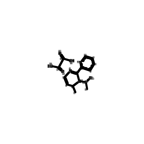 CC1C=CN=C(c2ccccn2)N1[S+](C)[O-].O=C(O)C(=O)O